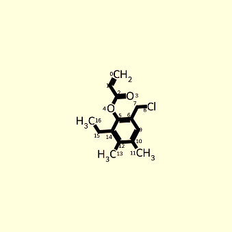 C=CC(=O)Oc1c(CCl)cc(C)c(C)c1CC